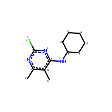 Cc1nc(Cl)nc(NC2CCCCC2)c1C